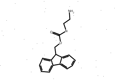 NCC[N]C(=O)OCC1c2ccccc2-c2ccccc21